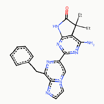 CCC1(CC)C(=O)Nc2nc(-c3cn4ccnc4c(Cc4ccccc4)n3)nc(N)c21